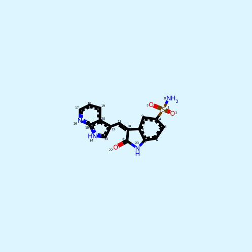 NS(=O)(=O)c1ccc2c(c1)C(=Cc1c[nH]c3ncccc13)C(=O)N2